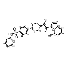 CC(C(=O)N1CCN(c2ccc(S(=O)(=O)Nc3ccncn3)cc2)CC1)n1ccc2cccc(F)c21